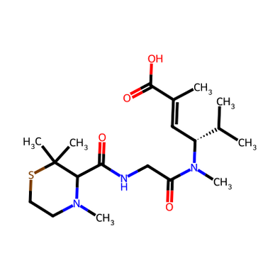 C/C(=C\[C@H](C(C)C)N(C)C(=O)CNC(=O)C1N(C)CCSC1(C)C)C(=O)O